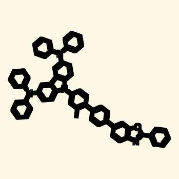 Cc1cc(-n2c3ccc(N(c4ccccc4)c4ccccc4)cc3c3cc(N(c4ccccc4)c4ccccc4)ccc32)ccc1-c1ccc(-c2ccc3nc(-c4ccccc4)oc3c2)cc1